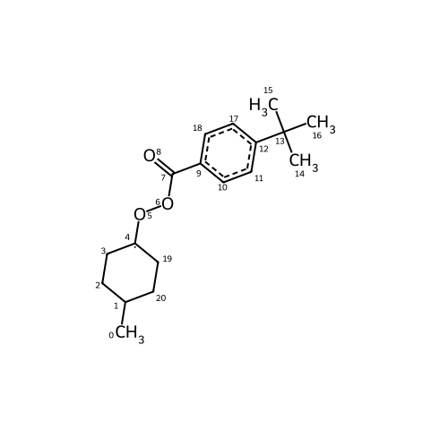 CC1CC[C](OOC(=O)c2ccc(C(C)(C)C)cc2)CC1